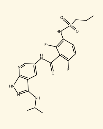 CCCS(=O)(=O)Nc1ccc(F)c(C(=O)Nc2cnc3[nH]nc(NC(C)C)c3c2)c1F